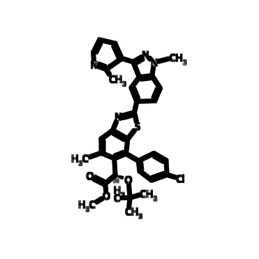 COC(=O)[C@@H](OC(C)(C)C)c1c(C)cc2nc(-c3ccc4c(c3)c(-c3cccnc3C)nn4C)sc2c1-c1ccc(Cl)cc1